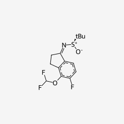 CC(C)(C)[S@@+]([O-])/N=C1/CCc2c1ccc(F)c2OC(F)F